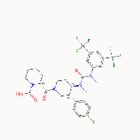 CN(C(=O)N(C)[C@@H]1CCN(C(=O)[C@H]2CCCCN2C(=O)O)C[C@H]1c1ccc(F)cc1)c1cc(C(F)(F)F)cc(C(F)(F)F)c1